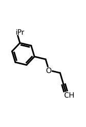 C#CCOCc1cccc(C(C)C)c1